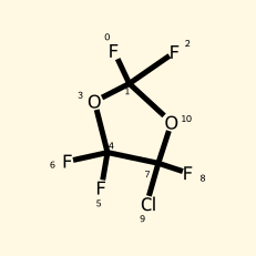 FC1(F)OC(F)(F)C(F)(Cl)O1